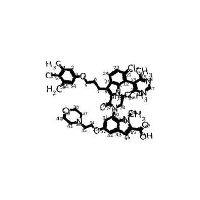 Cc1cc(OCCCc2c3n(c4c(-c5c(C)ncnc5C)c(Cl)ccc24)[C@H](C)CN(c2cc(OCCN4CCOCC4)cc4cc(C(=O)O)n(C)c24)C3=O)cc(C)c1Cl